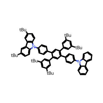 CC(C)(C)c1cc(-c2cc(-c3ccc(-n4c5ccc(C(C)(C)C)cc5c5cc(C(C)(C)C)ccc54)cc3)c(-c3cc(C(C)(C)C)cc(C(C)(C)C)c3)cc2-c2ccc(-n3c4ccccc4c4ccccc43)cc2)cc(C(C)(C)C)c1